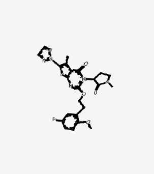 COc1ccc(F)cc1CCOc1nc2sc(-n3nccn3)c(C)c2c(=O)n1C1CCN(C)C1=O